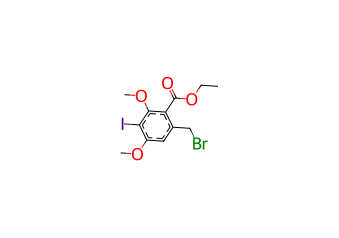 CCOC(=O)c1c(CBr)cc(OC)c(I)c1OC